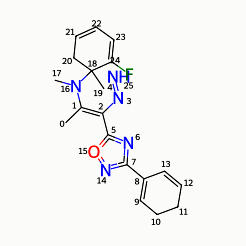 C/C(=C(/N=N)c1nc(C2=CCCC=C2)no1)N(C)C1(C)CC=CC=C1F